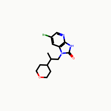 CC(Cn1c(=O)[nH]c2ncc(Br)cc21)C1CCOCC1